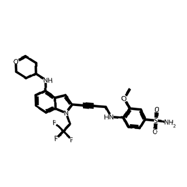 COc1cc(S(N)(=O)=O)ccc1NCC#Cc1cc2c(NC3CCOCC3)cccc2n1CC(F)(F)F